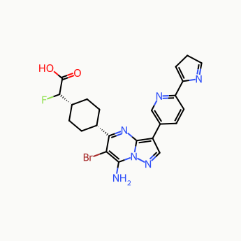 Nc1c(Br)c([C@H]2CC[C@@H](C(F)C(=O)O)CC2)nc2c(-c3ccc(C4=CCC=N4)nc3)cnn12